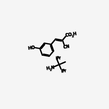 CC(C)C(C)(N)C(C)C.N#C/C(=C\c1cccc(O)c1)C(=O)O